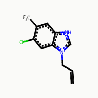 C=CC[n+]1c[nH]c2cc(C(F)(F)F)c(Cl)cc21